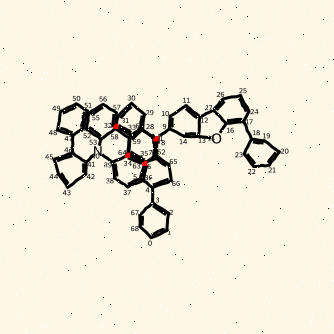 c1ccc(-c2ccc(N(c3ccc4c(c3)oc3c(-c5ccccc5)cccc34)c3ccccc3-c3ccccc3N(c3ccccc3-c3ccccc3)c3ccccc3-c3ccccc3)cc2)cc1